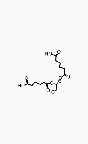 O=C(O)CCCCC(=O)OOC(CO)OC(=O)CCCCC(=O)O